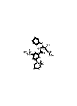 CCCCNC[C@@H](O)[C@H](Cc1ccccc1)NC(=O)c1cc(NCC)cc(N2CCCCS2(=O)=O)c1.Cl